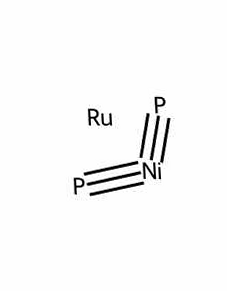 [P]#[Ni]#[P].[Ru]